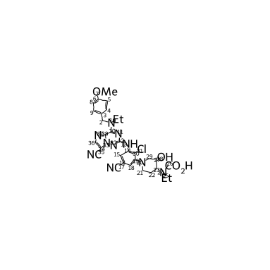 CCN(Cc1ccc(OC)cc1)c1nc(Nc2cc(C#N)cc(N3CC[C@@H](N(CC)C(=O)O)[C@@H](O)C3)c2Cl)nn2c(C#N)cnc12